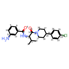 CC(C)[C@@H](NC(=O)c1cccc(N)c1)C(=O)N1CCC(c2ccc(Cl)cc2)CC1